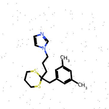 Cc1cc(C)cc(CC2(CCCn3ccnc3)SCCCS2)c1